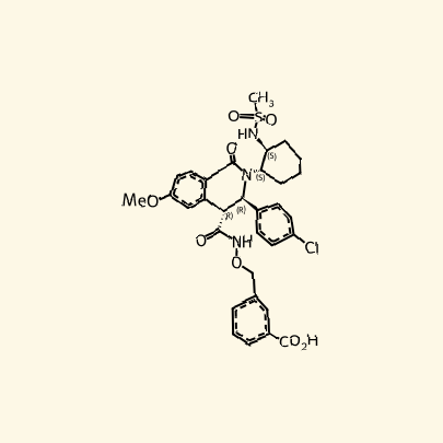 COc1ccc2c(c1)[C@@H](C(=O)NOCc1cccc(C(=O)O)c1)[C@H](c1ccc(Cl)cc1)N([C@H]1CCCC[C@@H]1NS(C)(=O)=O)C2=O